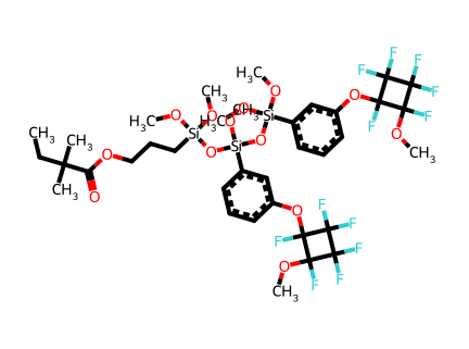 CCC(C)(C)C(=O)OCCC[Si](OC)(OC)O[Si](OC)(O[Si](OC)(OC)c1cccc(OC2(F)C(F)(F)C(F)(F)C2(F)OC)c1)c1cccc(OC2(F)C(F)(F)C(F)(F)C2(F)OC)c1